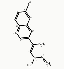 C=NN(C)/C=C(\C)c1cnc2ccc(Br)cc2c1